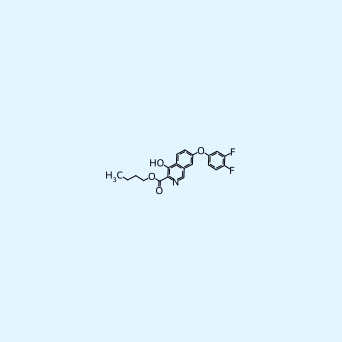 CCCCOC(=O)c1ncc2cc(Oc3ccc(F)c(F)c3)ccc2c1O